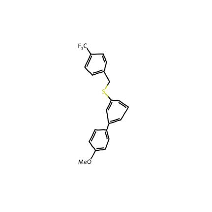 COc1ccc(-c2cccc(SCc3ccc(C(F)(F)F)cc3)c2)cc1